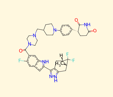 C[C@@]12Cc3[nH]nc(-c4cc5cc(F)c(C(=O)N6CCN(CC7CCN(c8ccc([C@H]9CCC(=O)NC9=O)cc8)CC7)CC6)cc5[nH]4)c3C[C@@H]1C2(F)F